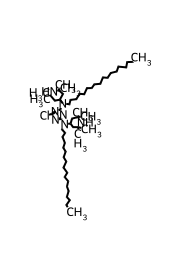 CCCCCCCCCCCCCCCCCCN(c1nc(Cl)nc(N(CCCCCCCCCCCCCCCCCC)C2CC(C)(C)NC(C)(C)C2)n1)C1CC(C)(C)NC(C)(C)C1